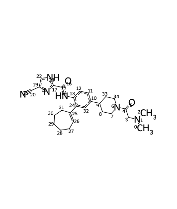 CN(C)CC(=O)N1CCC(c2ccc(NC(=O)c3nc(C#N)c[nH]3)c(C3=CCCCCC3)c2)CC1